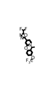 CC(c1cccc(OC(F)(F)F)c1)n1ccc(-c2nnc(C(F)F)o2)cc1=O